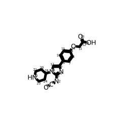 O=C=Nc1nc(-c2ccc(OCC(=O)O)cc2)cn1C1CCNCC1